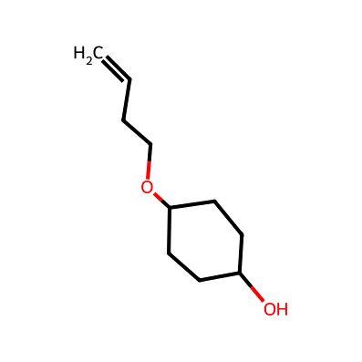 C=CCCOC1CCC(O)CC1